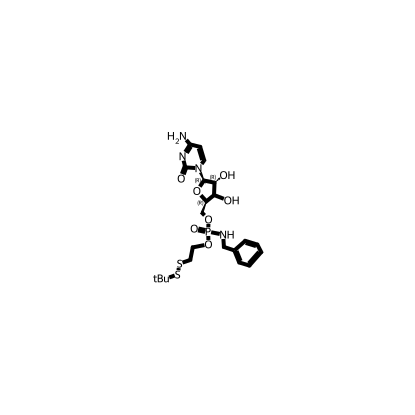 CC(C)(C)SSCCOP(=O)(NCc1ccccc1)OC[C@H]1O[C@@H](n2ccc(N)nc2=O)[C@H](O)C1O